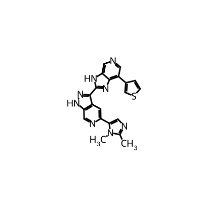 Cc1ncc(-c2cc3c(-c4nc5c(-c6ccsc6)cncc5[nH]4)n[nH]c3cn2)n1C